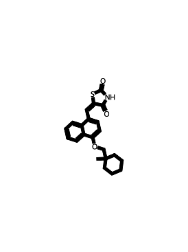 CC1(COc2ccc(/C=C3/SC(=O)NC3=O)c3ccccc23)CCCCC1